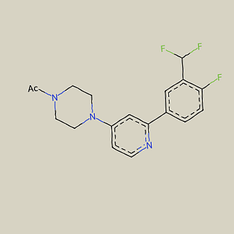 CC(=O)N1CCN(c2ccnc(-c3ccc(F)c(C(F)F)c3)c2)CC1